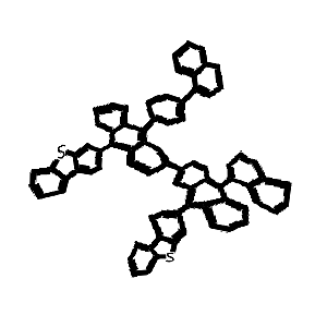 c1ccc2c(-c3ccc(-c4c5ccccc5c(-c5ccc6c(c5)sc5ccccc56)c5ccc(-c6ccc7c(-c8cccc9ccccc89)c8ccccc8c(-c8ccc9c(c8)sc8ccccc89)c7c6)cc45)cc3)cccc2c1